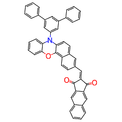 O=C1C(=Cc2ccc3c4c(ccc3c2)N(c2cc(-c3ccccc3)cc(-c3ccccc3)c2)c2ccccc2O4)C(=O)c2cc3ccccc3cc21